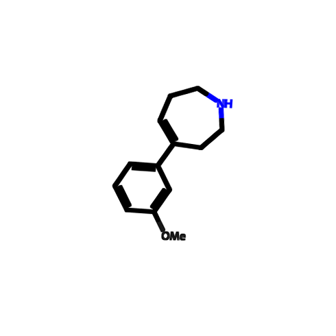 COc1cccc(C2=CCCNCC2)c1